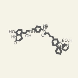 F.F.O=C(CCCc1ccc(-c2ccccc2)c(N(C(=O)O)[C@H]2CN3CCC2CC3)c1)Nc1ccc(CNC[C@@H](O)c2ccc(O)c3[nH]c(=O)ccc23)cc1